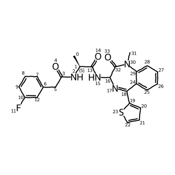 C[C@H](NC(=O)Cc1cccc(F)c1)C(=O)NC1N=C(c2cccs2)c2ccccc2N(C)C1=O